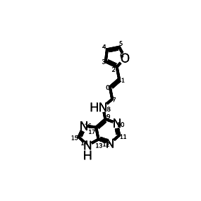 C(=Cc1ccco1)CNc1ncnc2[nH]cnc12